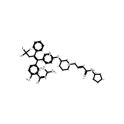 Cc1ccc(/C(=C(\CC(F)(F)F)c2ccccc2)c2ccc(OC3CCCN(C/C=C/C(=O)NC4CCCC4)C3)nc2)cc1/C(F)=N\C(C)C